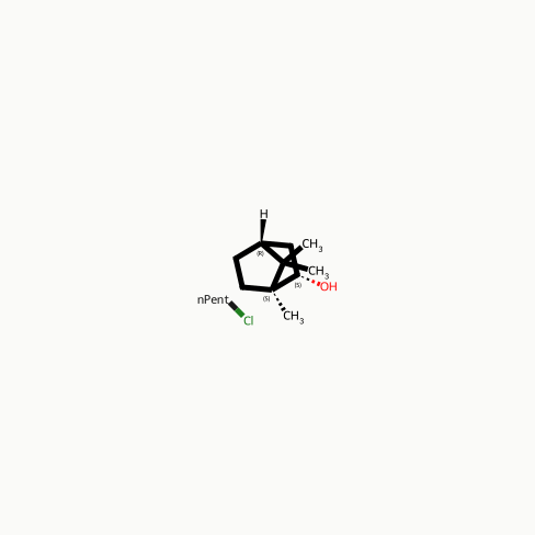 CC1(C)[C@@H]2CC[C@]1(C)[C@@H](O)C2.CCCCCCl